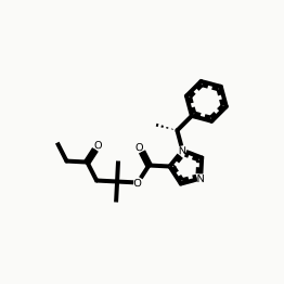 CCC(=O)CC(C)(C)OC(=O)c1cncn1[C@H](C)c1ccccc1